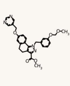 COCOc1cccc(Cn2nc(C(=O)OC)c3c2-c2ccc(OCc4cncnc4)cc2CC3)c1